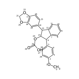 COc1ccc(C2c3ccccc3C(c3ccc4c(c3)OCO4)C2OC(=O)O)cc1